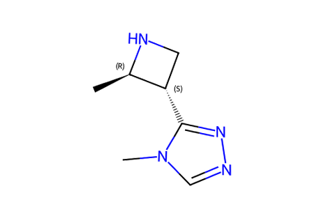 C[C@H]1NC[C@@H]1c1nncn1C